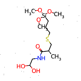 CO[Si](CCCSCC(C)C(=O)NCC(O)O)(OC)OC